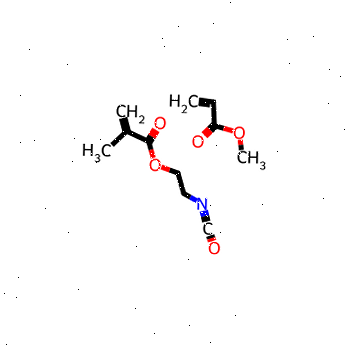 C=C(C)C(=O)OCCN=C=O.C=CC(=O)OC